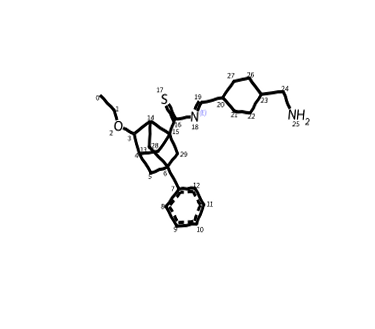 CCOC1C2CC3(c4ccccc4)CC1C(C(=S)/N=C/C1CCC(CN)CC1)(C2)C3